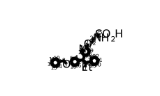 CC/C(=C(\c1ccc(OCc2ccccc2)cc1)c1ccc(OCCNC(=O)O)nc1)c1ccccc1